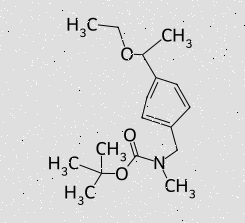 CCOC(C)c1ccc(CN(C)C(=O)OC(C)(C)C)cc1